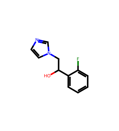 OC(Cn1ccnc1)c1ccccc1F